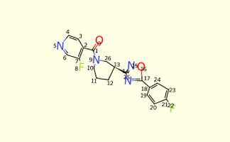 O=C(c1ccncc1F)N1CCC[C@H](c2noc(-c3ccc(F)cc3)n2)C1